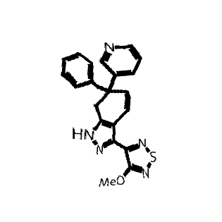 COc1nsnc1-c1n[nH]c2c1C=CC(c1ccccc1)(c1cccnc1)C2